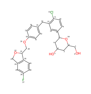 OCC1CC(O)CC(c2ccc(Cl)c(Cc3ccc(OCC4OCc5cc(F)ccc54)cc3)c2)O1